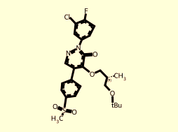 C[C@@H](COc1c(-c2ccc(S(C)(=O)=O)cc2)cnn(-c2ccc(F)c(Cl)c2)c1=O)COC(C)(C)C